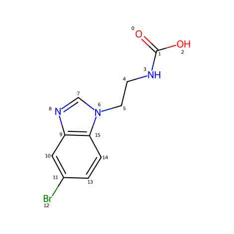 O=C(O)NCCn1cnc2cc(Br)ccc21